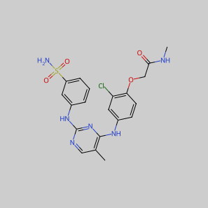 CNC(=O)COc1ccc(Nc2nc(Nc3cccc(S(N)(=O)=O)c3)ncc2C)cc1Cl